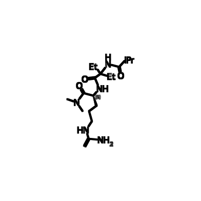 C=C(N)NCCC[C@H](NC(=O)C(CC)(CC)NC(=O)C(C)C)C(=O)N(C)C